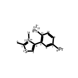 Cc1scc(-c2cc(C(C)C)ccc2C(C)C)[n+]1C.[I-]